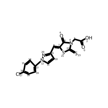 O=C(O)CN1C(=O)C(=Cc2ccn(-c3ccc(Cl)cc3)n2)SC1=S